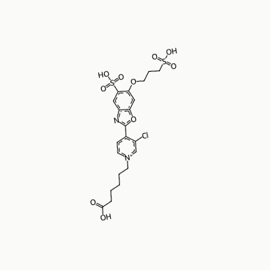 O=C(O)CCCCC[n+]1ccc(-c2nc3cc(S(=O)(=O)O)c(OCCCS(=O)(=O)O)cc3o2)c(Cl)c1